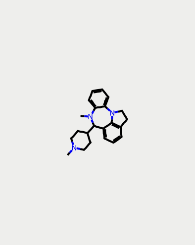 CN1CCC(C2c3cccc4c3N(CC4)c3ccccc3N2C)CC1